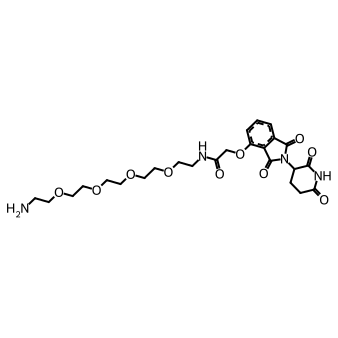 NCCOCCOCCOCCOCCNC(=O)COc1cccc2c1C(=O)N(C1CCC(=O)NC1=O)C2=O